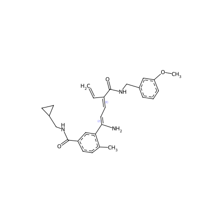 C=C/C(=C\C=C(/N)c1cc(C(=O)NCC2CC2)ccc1C)C(=O)NCc1cccc(OC)c1